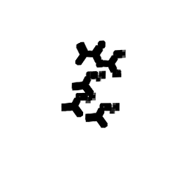 C=C(C)C(=O)O.C=C(C)C(=O)O.C=C(C)C(=O)O.C=C(C)C(=O)OC(O)CC